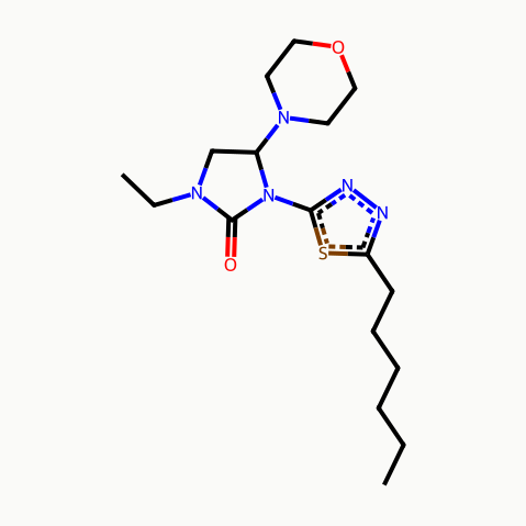 CCCCCCc1nnc(N2C(=O)N(CC)CC2N2CCOCC2)s1